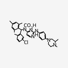 Cc1cc(C)c(C(c2cc(Cl)ccc2C)N(C(=O)O)c2ccnc(Nc3ccc(N4CCN(C)C(C)C4)cc3)n2)c(C)c1